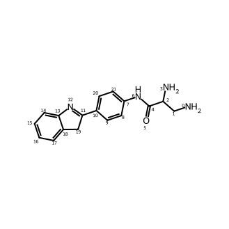 NCC(N)C(=O)Nc1ccc(C2=Nc3ccccc3C2)cc1